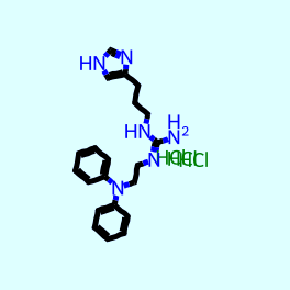 Cl.Cl.Cl.NC(=NCCN(c1ccccc1)c1ccccc1)NCCCc1c[nH]cn1